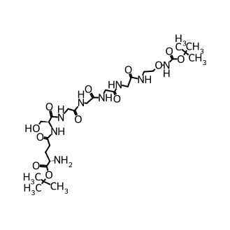 CC(C)(C)OC(=O)NOCCNC(=O)CNC(=O)CNC(=O)CNC(=O)CNC(=O)[C@H](CO)NC(=O)CC[C@H](N)C(=O)OC(C)(C)C